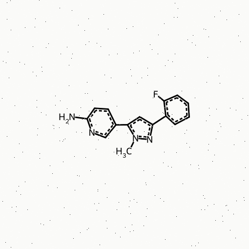 Cn1nc(-c2ccccc2F)cc1-c1ccc(N)nc1